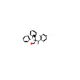 CCCCCc1ccc2c(c1)OC(C)(C)C(CC(=O)C(=O)O)([Si](c1ccccc1)(c1ccccc1)C(C)(C)C)C2C